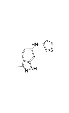 Cc1n[nH]c2cc(Nc3ccsc3)ccc12